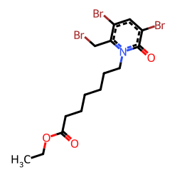 CCOC(=O)CCCCCCn1c(CBr)c(Br)cc(Br)c1=O